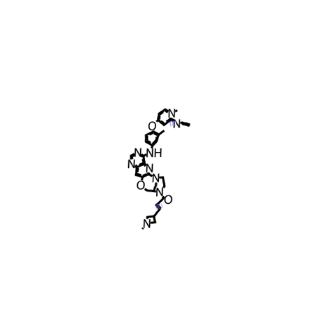 C=C/N=c1/cc(Oc2ccc(Nc3ncnc4cc5c(nc34)N3CCN(C(=O)/C=C/C4CN(C)C4)C(CO5)C3)cc2C)ccn1C